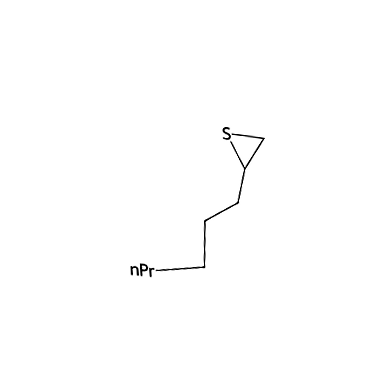 CCCCCCC1CS1